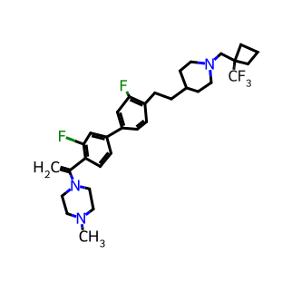 C=C(c1ccc(-c2ccc(CCC3CCN(CC4(C(F)(F)F)CCC4)CC3)c(F)c2)cc1F)N1CCN(C)CC1